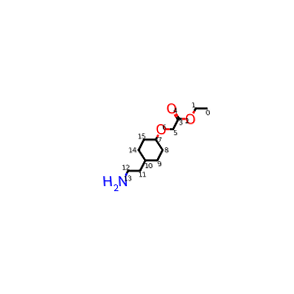 CCOC(=O)COC1CCC(CCN)CC1